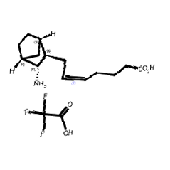 N[C@@H]1[C@@H]2CC[C@@H](C2)[C@H]1C/C=C\CCCC(=O)O.O=C(O)C(F)(F)F